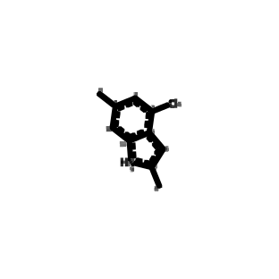 Cc1cc(Cl)c2cc(C)[nH]c2c1